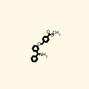 COC(=O)c1ccc(COc2cccc(C(N)c3ccccc3)c2)cc1